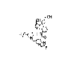 C[C@H]1CCCN(Cc2cc(C(=O)Nc3cccc(C4(c5nncn5C)CC(CC#N)C4)c3)c3nc(F)cn3c2)C1